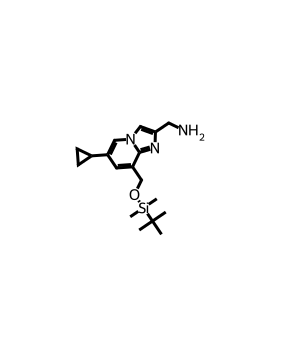 CC(C)(C)[Si](C)(C)OCc1cc(C2CC2)cn2cc(CN)nc12